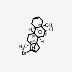 C[C@]12CC[C@H]3[C@@H](C[C@@H](Cl)[C@@]4(O)CC=CC[C@]34C)[C@@H]1CC=C2Br